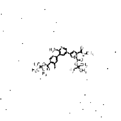 COC(=O)C1C=C(c2cnc(N)c(-c3ccc(C(=O)OC(C)(C)C)c(F)c3)c2)CN1C(=O)OC(C)(C)C